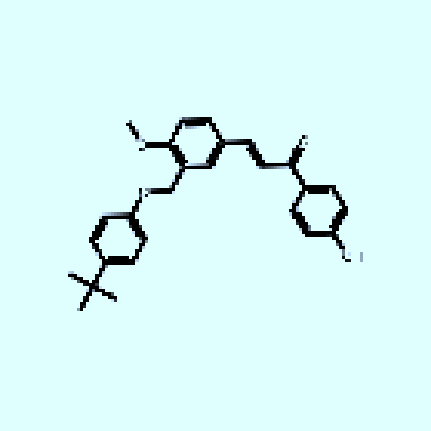 COc1ccc(/C=C/C(=O)c2ccc(O)cc2)cc1COc1ccc(C(C)(C)C)cc1